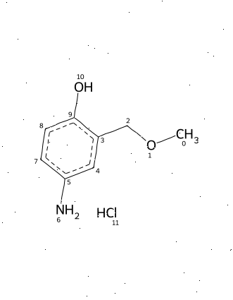 COCc1cc(N)ccc1O.Cl